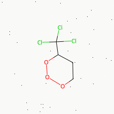 ClC(Cl)(Cl)C1CCOOO1